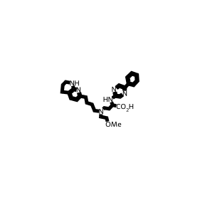 COCCN(CCCCc1ccc2c(n1)NCCC2)CCC(Nc1cnc(-c2ccccc2)cn1)C(=O)O